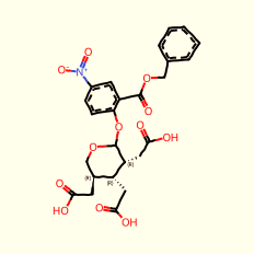 O=C(O)C[C@H]1COC(Oc2ccc([N+](=O)[O-])cc2C(=O)OCc2ccccc2)[C@H](CC(=O)O)[C@@H]1CC(=O)O